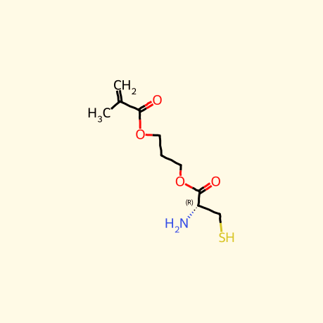 C=C(C)C(=O)OCCCOC(=O)[C@@H](N)CS